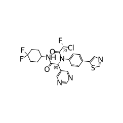 O=C(NC1CCC(F)(F)CC1)[C@@H](c1cncnc1)N(C(=O)[C@H](F)Cl)c1ccc(-c2cncs2)cc1